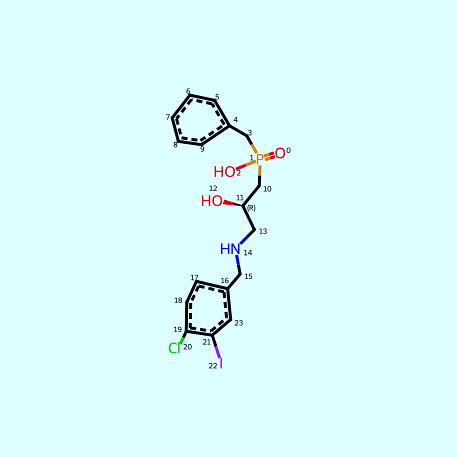 O=P(O)(Cc1ccccc1)C[C@H](O)CNCc1ccc(Cl)c(I)c1